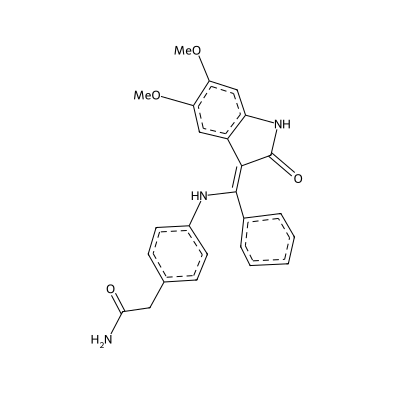 COc1cc2c(cc1OC)/C(=C(\Nc1ccc(CC(N)=O)cc1)c1ccccc1)C(=O)N2